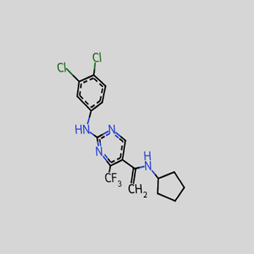 C=C(NC1CCCC1)c1cnc(Nc2ccc(Cl)c(Cl)c2)nc1C(F)(F)F